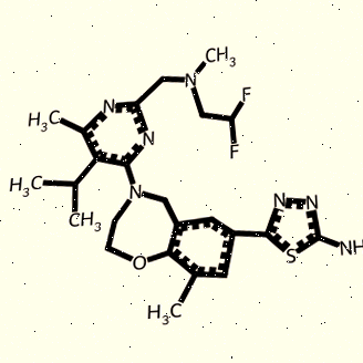 Cc1cc(-c2nnc(N)s2)cc2c1OCCN(c1nc(CN(C)CC(F)F)nc(C)c1C(C)C)C2